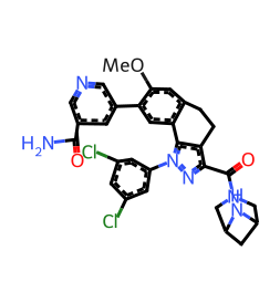 COc1cc2c(cc1-c1cncc(C(N)=O)c1)-c1c(c(C(=O)N3CC4CC(C3)N4)nn1-c1cc(Cl)cc(Cl)c1)CC2